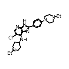 CCN1CCC(Nc2c(Cl)cnc3[nH]c(-c4ccc(N5CCN(CC)CC5)cc4)nc23)CC1